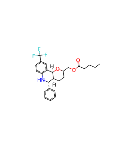 CCCCC(=O)OCC1CC[C@@H]2[C@H](O1)c1cc(C(F)(F)F)ccc1N[C@H]2c1ccccc1